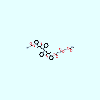 C=CC(=O)OCCOC(=O)CCC(=O)Oc1ccccc1C(C)C1=C/C(=C2/C=C(C(C)c3ccccc3OC(=O)CCC)C(=O)c3ccccc32)c2ccccc2C1=O